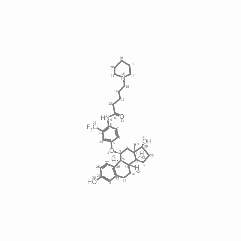 C[C@]12C[C@H](Oc3ccc(NC(=O)CCCCN4CCCCC4)c(C(F)(F)F)c3)[C@@H]3c4ccc(O)cc4CC[C@H]3[C@@H]1CC[C@@H]2O